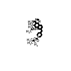 CONC1c2cc(C=C3CCN(C(=O)OC(C)(C)C)CC3)ccc2-c2ncnc(N)c2C1(C)C